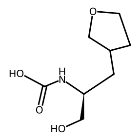 O=C(O)N[C@H](CO)CC1CCOC1